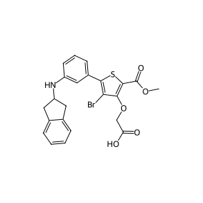 COC(=O)c1sc(-c2cccc(NC3Cc4ccccc4C3)c2)c(Br)c1OCC(=O)O